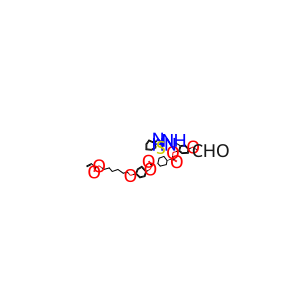 C=CC(=O)OCCCCCCOc1ccc(OC(=O)[C@H]2CC[C@H](C(=O)Oc3ccc(OC=O)cc3CNNc3nc4ccccc4s3)CC2)cc1